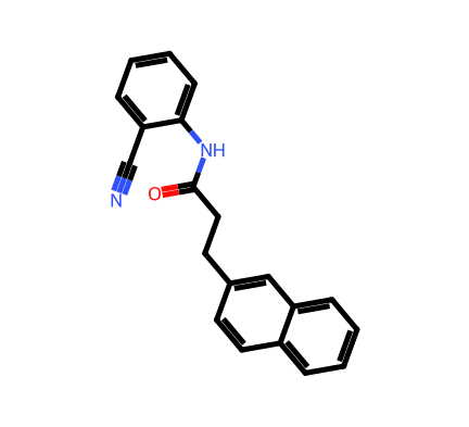 N#Cc1ccccc1NC(=O)CCc1ccc2ccccc2c1